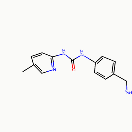 Cc1ccc(NC(=O)Nc2ccc(CN)cc2)nc1